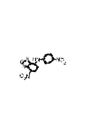 O=[N+]([O-])c1ccc(Nc2ccc([N+](=O)[O-])c3nonc23)cc1